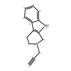 C#CCN1CCc2c([nH]c3ccccc23)C1